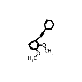 COc1cccc(C#CC2=CCCC=C2)c1OC